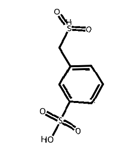 O=[SH](=O)Cc1cc[c]c(S(=O)(=O)O)c1